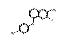 Cc1cc2nccc(Oc3ccc(N)cc3)c2cc1O